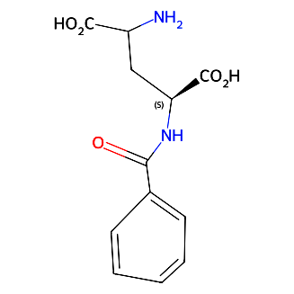 NC(C[C@H](NC(=O)c1ccccc1)C(=O)O)C(=O)O